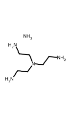 N.NCCN(CCN)CCN